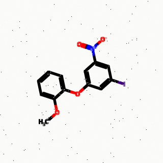 COc1ccccc1Oc1cc(I)cc([N+](=O)[O-])c1